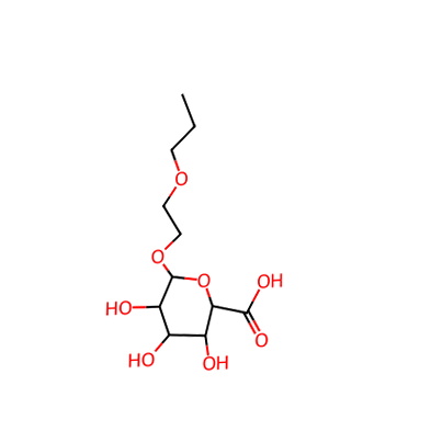 CCCOCCOC1OC(C(=O)O)C(O)C(O)C1O